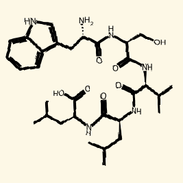 CC(C)C[C@H](NC(=O)[C@H](CC(C)C)NC(=O)[C@@H](NC(=O)[C@H](CO)NC(=O)[C@@H](N)Cc1c[nH]c2ccccc12)C(C)C)C(=O)O